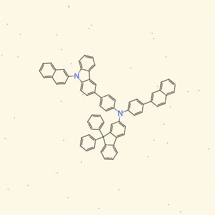 c1ccc(C2(c3ccccc3)c3ccccc3-c3ccc(N(c4ccc(-c5ccc6ccccc6c5)cc4)c4ccc(-c5ccc6c(c5)c5ccccc5n6-c5ccc6ccccc6c5)cc4)cc32)cc1